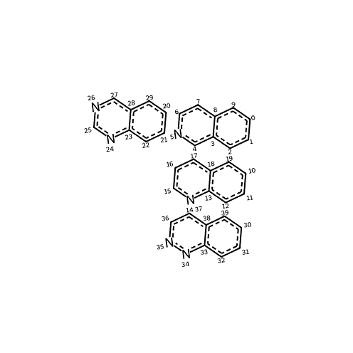 c1ccc2cnccc2c1.c1ccc2ncccc2c1.c1ccc2ncncc2c1.c1ccc2nnccc2c1